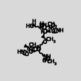 COC(=O)NCCCc1cn(CCCOC(C)C2CC2c2ccc(C(=N)[C@@H](C)N(C(=O)[C@H]3CNCCO3)C3CC3)c(NCCCNO)n2)c2cc([C@@H](C)N(C(=O)[C@H]3CNCCO3)C3CC3)ncc12